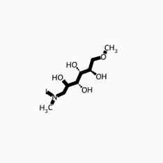 COC[C@@H](O)[C@@H](O)[C@H](O)C(O)CN(C)I